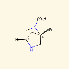 CCCC[C@]12CN[C@H](CN1C(=O)O)C2